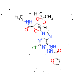 CCNC(=O)C1OC(n2cnc3c(NNC(=O)c4ccco4)nc(Cl)nc32)[C@@H]2OC(C)(C)OC12